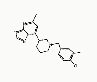 Cc1cc(C2CCCN(Cc3ccc(Cl)c(F)c3)C2)n2ncnc2n1